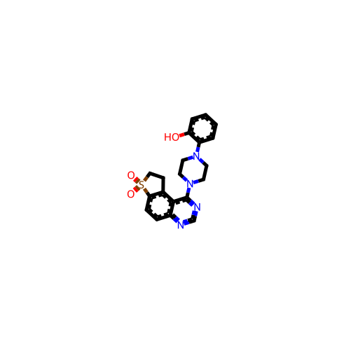 O=S1(=O)CCc2c1ccc1ncnc(N3CCN(c4ccccc4O)CC3)c21